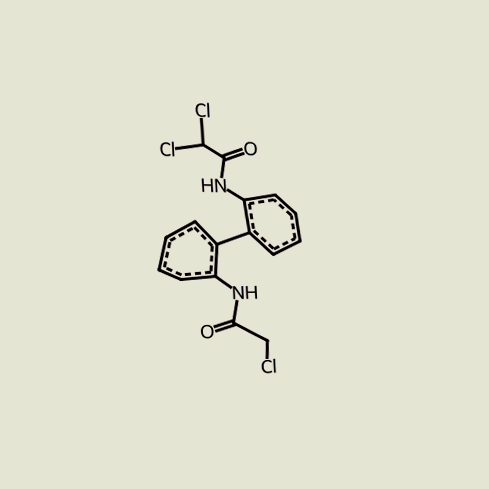 O=C(CCl)Nc1ccccc1-c1ccccc1NC(=O)C(Cl)Cl